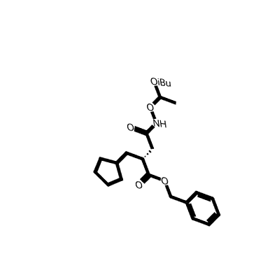 CC(C)COC(C)ONC(=O)C[C@@H](CC1CCCC1)C(=O)OCc1ccccc1